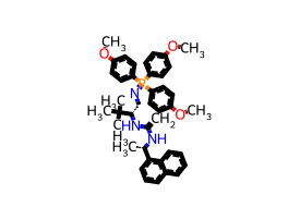 C=C(N[C@@H](C)c1cccc2ccccc12)N[C@@H](CN=P(c1ccc(OC)cc1)(c1ccc(OC)cc1)c1ccc(OC)cc1)C(C)(C)C